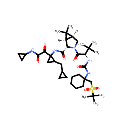 CC(C)(C)[C@H](NC(=O)NC1(CS(=O)(=O)C(C)(C)C)CCCCC1)C(=O)N1C[C@H]2[C@@H]([C@H]1C(=O)NC1(C(=O)C(=O)NC3CC3)CC1CC1CC1)C2(C)C